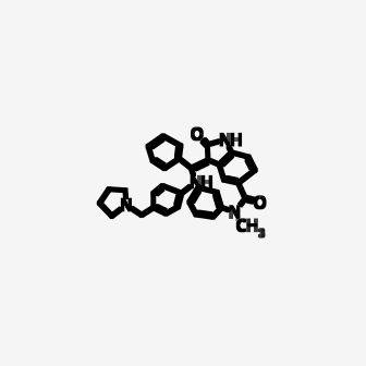 CN(C(=O)c1ccc2c(c1)C(=C(Nc1ccc(CN3CCCC3)cc1)c1ccccc1)C(=O)N2)c1ccccc1